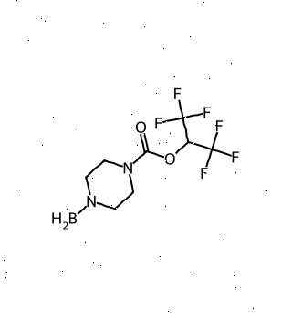 BN1CCN(C(=O)OC(C(F)(F)F)C(F)(F)F)CC1